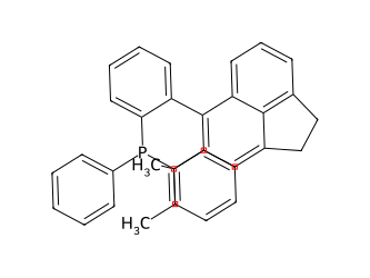 C/C=C(\C)c1cc2c3c(cccc3c1-c1ccccc1P(c1ccccc1)c1ccccc1)CC2